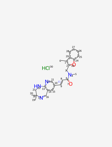 Cc1c(CN(C)C(=O)/C=C/c2cnc3c(c2)C=NC(C)(C)CN3)oc2ccccc12.Cl